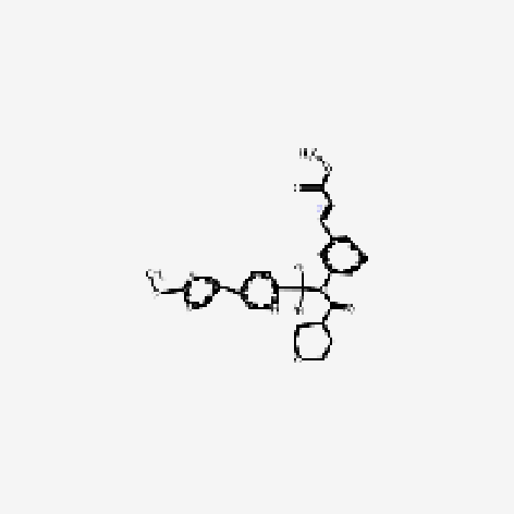 [2H]C([2H])(c1ccc(-c2cnc(OC)nc2)cn1)N(C(=O)C1CCOCC1)c1cccc(/C=C/C(=O)OC)c1